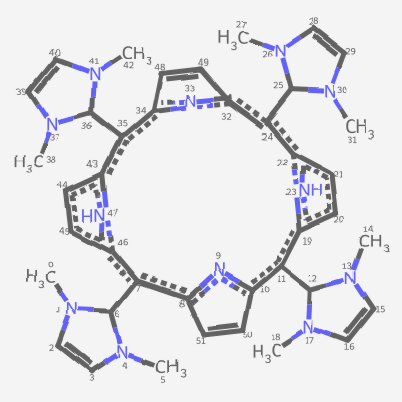 CN1C=CN(C)C1c1c2nc(c(C3N(C)C=CN3C)c3ccc([nH]3)c(C3N(C)C=CN3C)c3nc(c(C4N(C)C=CN4C)c4ccc1[nH]4)C=C3)C=C2